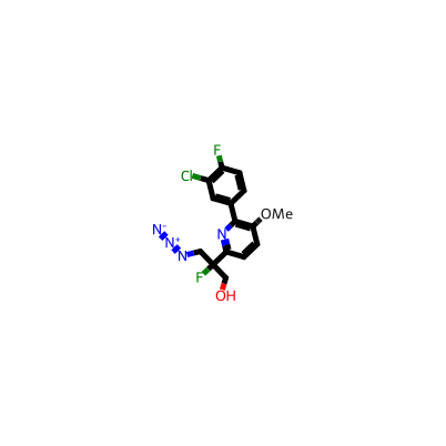 COc1ccc(C(F)(CO)CN=[N+]=[N-])nc1-c1ccc(F)c(Cl)c1